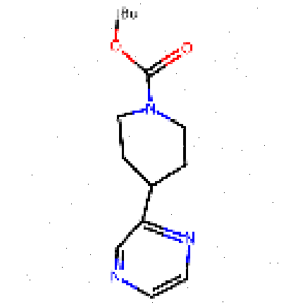 CC(C)(C)OC(=O)N1CCC(c2cnccn2)CC1